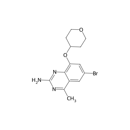 Cc1nc(N)nc2c(OC3CCOCC3)cc(Br)cc12